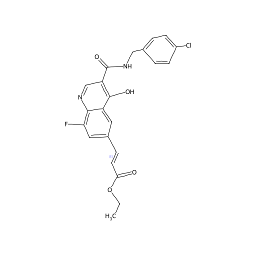 CCOC(=O)/C=C/c1cc(F)c2ncc(C(=O)NCc3ccc(Cl)cc3)c(O)c2c1